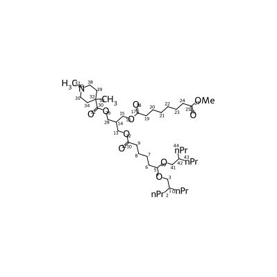 CCCC(CCC)COC(CCCCC(=O)OCC(COC(=O)CCCCCCC(=O)OC)COC(=O)C1(C)CCN(C)CC1)OCC(CCC)CCC